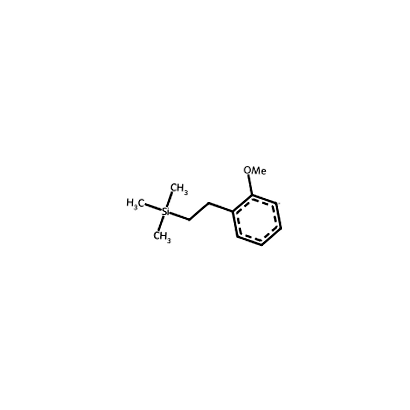 COc1[c]cccc1CC[Si](C)(C)C